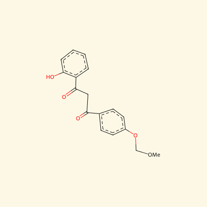 COCOc1ccc(C(=O)CC(=O)c2ccccc2O)cc1